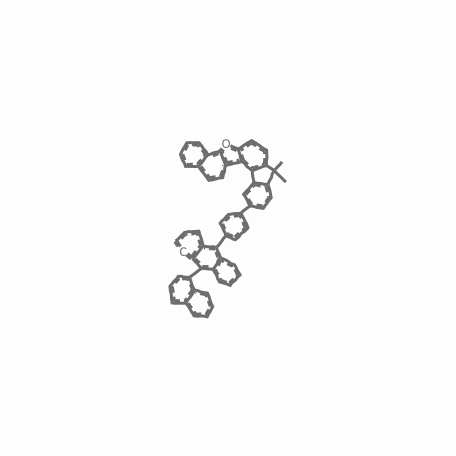 CC1(C)c2ccc(-c3ccc(-c4c5ccccc5c(-c5cccc6ccccc56)c5ccccc45)cc3)cc2-c2c1ccc1oc3c4ccccc4ccc3c21